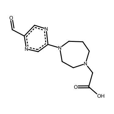 O=Cc1cnc(N2CCCN(CC(=O)O)CC2)cn1